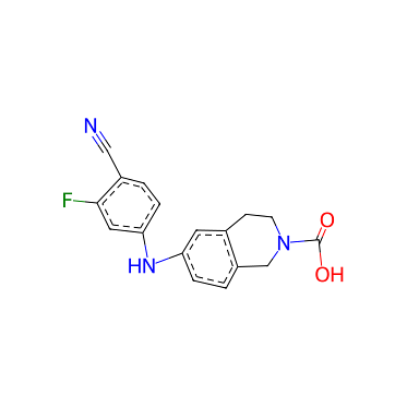 N#Cc1ccc(Nc2ccc3c(c2)CCN(C(=O)O)C3)cc1F